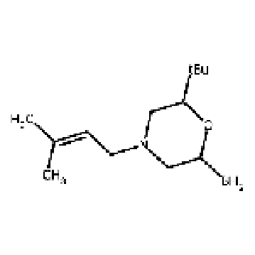 BC1CN(CC=C(C)C)CC(C(C)(C)C)O1